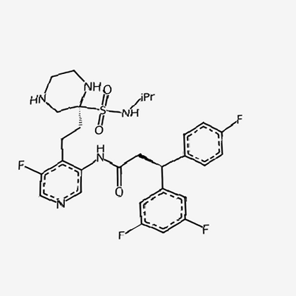 CC(C)NS(=O)(=O)[C@@]1(CCc2c(F)cncc2NC(=O)C[C@@H](c2ccc(F)cc2)c2cc(F)cc(F)c2)CNCCN1